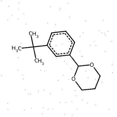 CC(C)(C)c1cccc(C2OCCCO2)c1